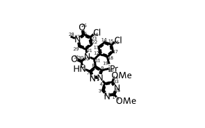 COc1ncc(-n2nc3c(c2C(C)C)C(c2ccc(Cl)cc2C)N(c2cc(Cl)c(=O)n(C)c2)C(=O)N3)c(OC)n1